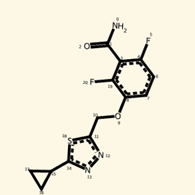 NC(=O)c1c(F)ccc(OCc2nnc(C3CC3)s2)c1F